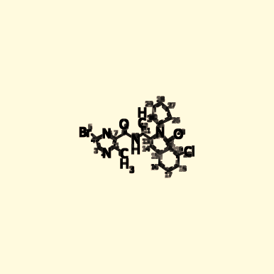 Cc1ncc(Br)nc1C(=O)N[C@@H](C)c1cc2cccc(Cl)c2c(=O)n1-c1ccccc1